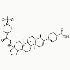 CC1C(C2=CCC(C(=O)O)CC2)=CCC2(C)C1CCC1(C)C2CCC2C3CCCC3(NCC(=O)N3CCN(S(C)(=O)=O)CC3)CC[C@]21C